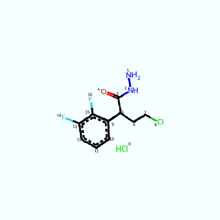 Cl.NNC(=O)C(CCCl)c1cccc(F)c1F